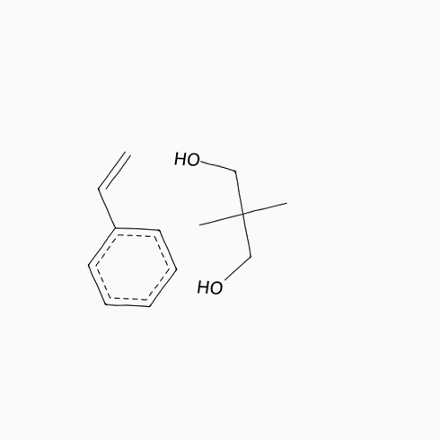 C=Cc1ccccc1.CC(C)(CO)CO